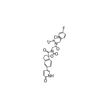 C[C@@H](C1CC1)N(Cc1ccc(F)cc1)C(=O)CN1C(=O)OC2(CCc3cc(-c4ccc(=O)[nH]c4)ccc32)C1=O